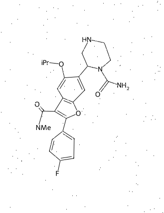 CNC(=O)c1c(-c2ccc(F)cc2)oc2cc(C3CNCCN3C(N)=O)c(OC(C)C)cc12